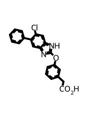 O=C(O)Cc1cccc(Oc2nc3cc(-c4ccccc4)c(Cl)cc3[nH]2)c1